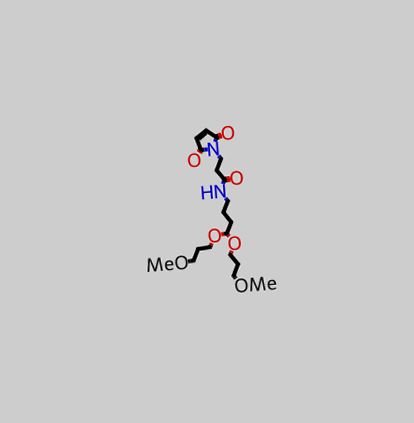 COCCCOC(CCCNC(=O)CCN1C(=O)C=CC1=O)OCCCOC